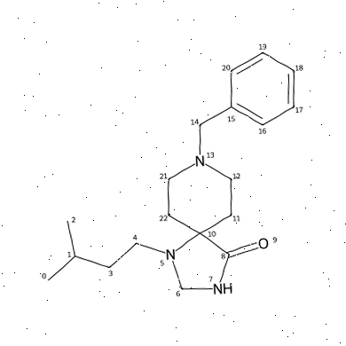 CC(C)CCN1CNC(=O)C12CCN(Cc1ccccc1)CC2